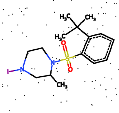 CC1CN(I)CCN1S(=O)(=O)c1ccccc1C(C)(C)C